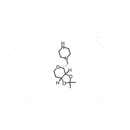 CC1(C)O[C@H]2[C@@H](CN3CCNCC3)OCC[C@H]2O1